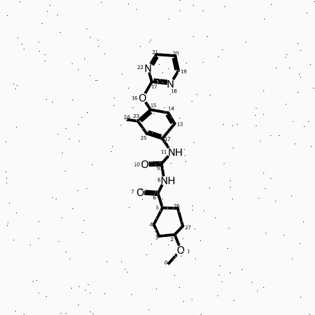 COC1CCC(C(=O)NC(=O)Nc2ccc(Oc3ncccn3)c(C)c2)CC1